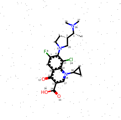 C[C@H]([C@H]1CCN(c2c(F)cc3c(=O)c(C(=O)O)cn(C4CC4)c3c2Cl)C1)N(C)C